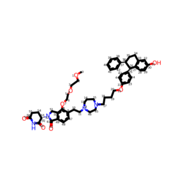 COCCOCCOc1c(CCN2CCCN(CCCCOc3ccc([C@@H]4c5ccc(O)cc5CC[C@@H]4c4ccccc4)cc3)CC2)ccc2c1CN([C@H]1CCC(=O)NC1=O)C2=O